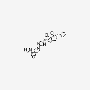 N[C@@H]1COCC12CCN(c1cnc(Sc3ccc4c(c3Cl)C(=O)N(Cc3ccccc3)CC4)cn1)CC2